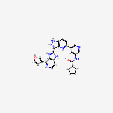 O=C(Nc1cncc(-c2ccc3[nH]nc(-c4nc5c(-c6ccoc6)nccc5[nH]4)c3n2)c1)C1CCCC1